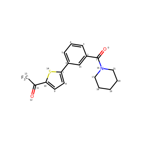 O=C(c1cccc(-c2ccc(C(=O)C(F)(F)F)s2)c1)N1CCCCC1